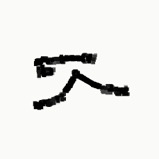 CCCCCO.CCCCCOCCCCC.[Na]